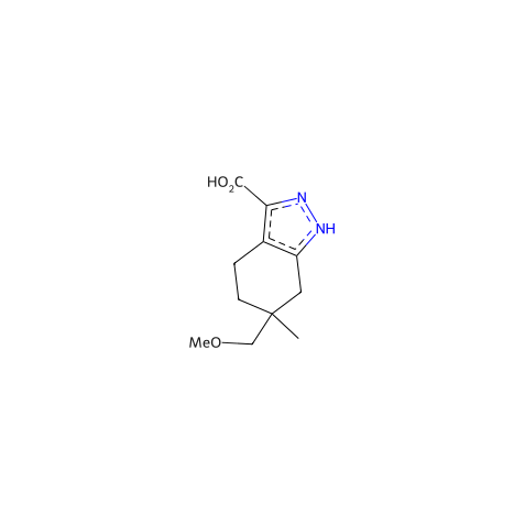 COCC1(C)CCc2c(C(=O)O)n[nH]c2C1